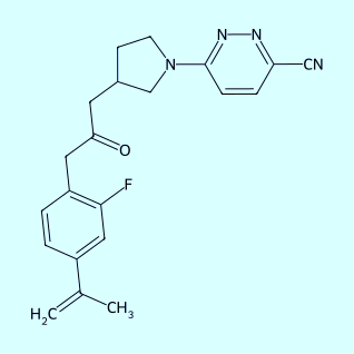 C=C(C)c1ccc(CC(=O)CC2CCN(c3ccc(C#N)nn3)C2)c(F)c1